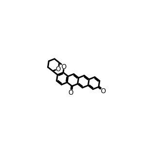 O=C1C=Cc2cc3c(cc2=C1)C(=O)c1ccc2c(c1C=3)OC1CCCC2O1